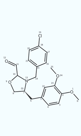 COc1ccc(C[C@H]2COC(C=O)N2Cc2ccc(Cl)cc2)cc1OC